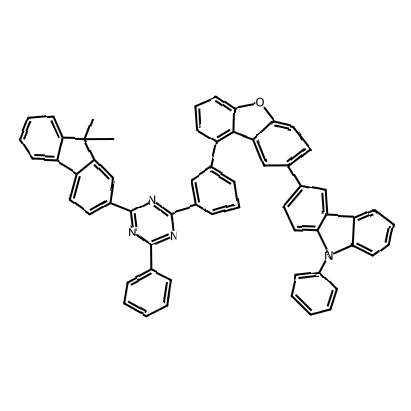 CC1(C)c2ccccc2-c2ccc(-c3nc(-c4ccccc4)nc(-c4cccc(-c5cccc6oc7ccc(-c8ccc9c(c8)c8ccccc8n9-c8ccccc8)cc7c56)c4)n3)cc21